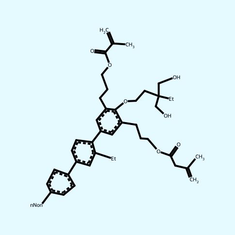 C=C(C)CC(=O)OCCCc1cc(-c2ccc(-c3ccc(CCCCCCCCC)cc3)cc2CC)cc(CCCOC(=O)C(=C)C)c1OCCC(CC)(CO)CO